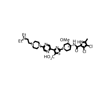 CCN(CC)CCN1CCN(c2cnc(-c3nc(N4CC[C@@H](NC(=O)c5[nH]c(C)c(Cl)c5Cl)[C@@H](OC)C4)sc3C(=O)O)cn2)CC1